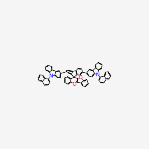 c1ccc2c(c1)Oc1c(oc3ccccc13)C21c2cc(-c3ccc4c(c3)c3ccccc3n4-c3cccc4ccccc34)ccc2-c2ccc(-c3ccc4c(c3)c3ccccc3n4-c3cccc4ccccc34)cc21